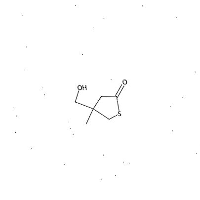 CC1(CO)CSC(=O)C1